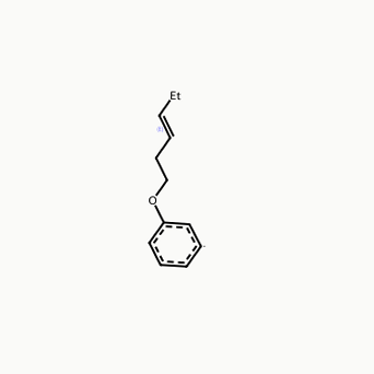 CC/C=C/CCOc1c[c]ccc1